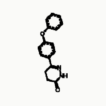 O=C1CCC(c2ccc(Oc3ccccc3)cc2)=NN1